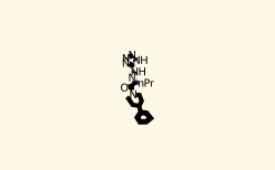 CCC/C(=N\Nc1nnn[nH]1)C(=O)N1CCC(c2ccccc2)CC1